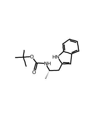 C[C@@H](Cc1cc2ccccc2[nH]1)NC(=O)OC(C)(C)C